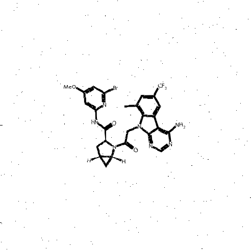 COc1cc(Br)nc(NC(=O)[C@@H]2C[C@H]3C[C@H]3N2C(=O)Cn2c3ncnc(N)c3c3cc(C(F)(F)F)cc(C)c32)c1